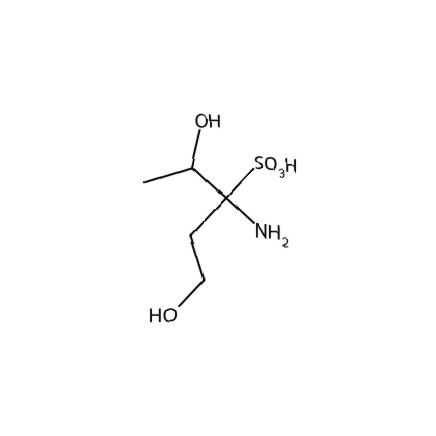 CC(O)C(N)(CCO)S(=O)(=O)O